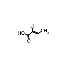 CC=C(Cl)C(=O)O